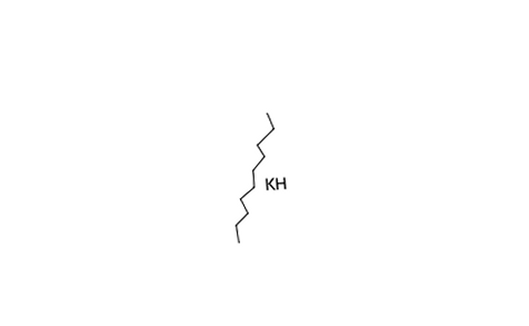 CCCCCCCCCC.[KH]